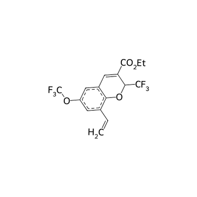 C=Cc1cc(OC(F)(F)F)cc2c1OC(C(F)(F)F)C(C(=O)OCC)=C2